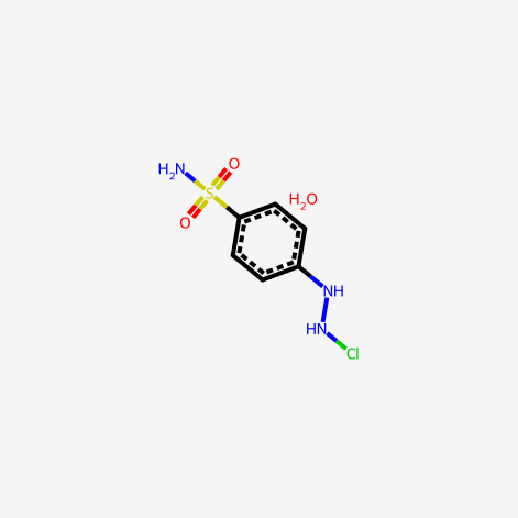 NS(=O)(=O)c1ccc(NNCl)cc1.O